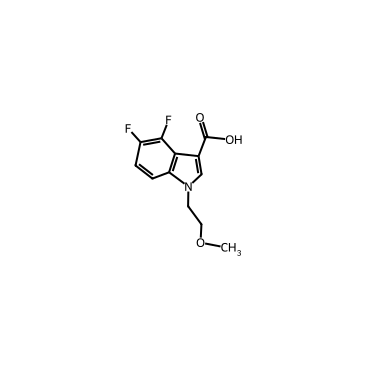 COCCn1cc(C(=O)O)c2c(F)c(F)ccc21